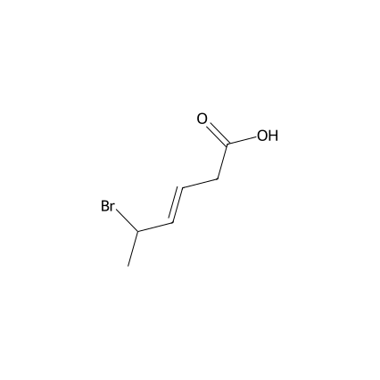 CC(Br)C=CCC(=O)O